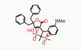 CNc1cccc(C(C2=C(O)C(Cc3ccccc3)(Cc3ccccc3)OC2=O)C(C)(S(C)(=O)=O)S(C)(=O)=O)c1